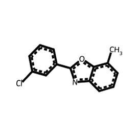 Cc1cccc2nc(-c3cccc(Cl)c3)oc12